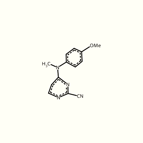 COc1ccc(N(C)c2ccnc(C#N)n2)cc1